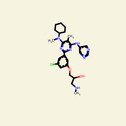 CNCC(O)COc1cc(Cl)cc(-c2nc(Nc3cncnc3)c(C)c(N(C)C3CCCCC3)n2)c1